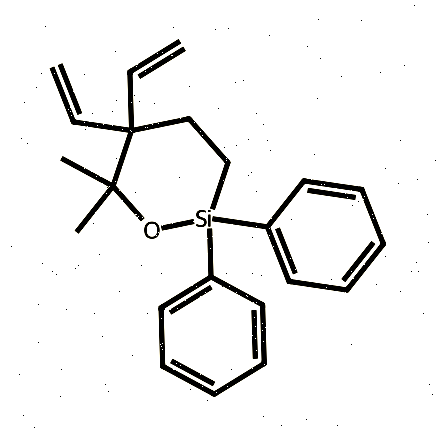 C=CC1(C=C)CC[Si](c2ccccc2)(c2ccccc2)OC1(C)C